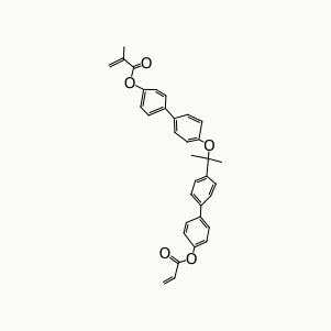 C=CC(=O)Oc1ccc(-c2ccc(C(C)(C)Oc3ccc(-c4ccc(OC(=O)C(=C)C)cc4)cc3)cc2)cc1